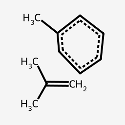 C=C(C)C.Cc1ccccc1